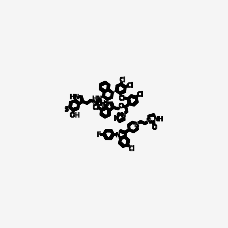 CN[C@H]1CC[C@@H](c2ccc(Cl)c(Cl)c2)c2ccccc21.Clc1ccc(C(Cn2ccnc2)OCc2csc3c(Cl)cccc23)c(Cl)c1.NCCc1c[nH]c2ccc(O)cc12.O=C1NCCN1CCN1CCC(c2cn(-c3ccc(F)cc3)c3ccc(Cl)cc23)CC1.[S-2]